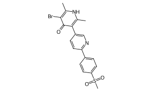 Cc1[nH]c(C)c(-c2ccc(-c3ccc(S(C)(=O)=O)cc3)nc2)c(=O)c1Br